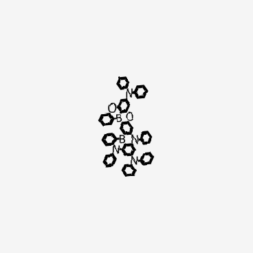 c1ccc(N(c2ccccc2)c2cc3c4c(c2)Oc2cc5c(cc2B4c2ccccc2O3)B2c3ccccc3N(c3ccccc3)c3cc(N(c4ccccc4)c4ccccc4)cc(c32)N5c2ccccc2)cc1